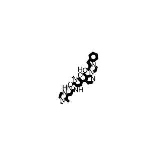 CC1/C(=C/C(=N)Nc2cc(-c3ccnc(N4CCn5c(cc6c5CCCC6)C4=O)c3CO)cn(C)c2=O)NCCN1C